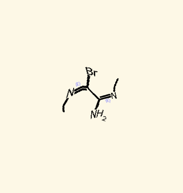 C/N=C(N)\C(Br)=N/C